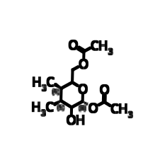 CC(=O)OCC1O[C@H](OC(C)=O)C(O)[C@@H](C)[C@H]1C